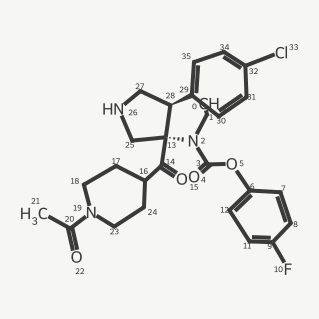 CCN(C(=O)Oc1ccc(F)cc1)[C@]1(C(=O)C2CCN(C(C)=O)CC2)CNC[C@H]1c1ccc(Cl)cc1